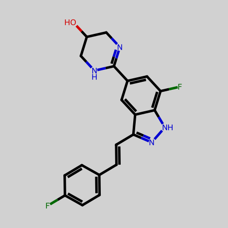 OC1CN=C(c2cc(F)c3[nH]nc(C=Cc4ccc(F)cc4)c3c2)NC1